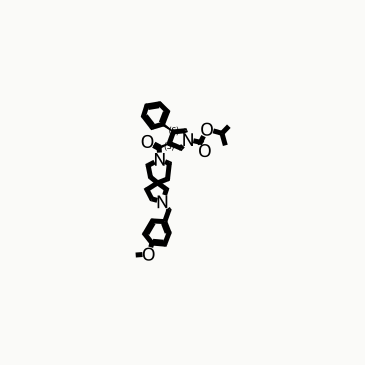 COc1ccc(CN2CCC3(CCN(C(=O)[C@@H]4CN(C(=O)OC(C)C)C[C@@H]4c4ccccc4)CC3)C2)cc1